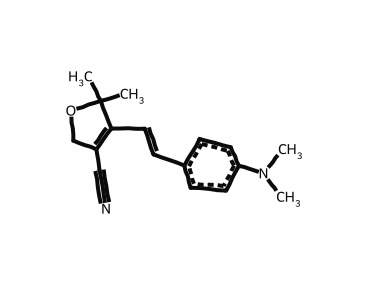 CN(C)c1ccc(C=CC2=C(C#N)COC2(C)C)cc1